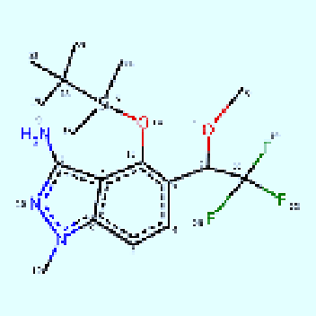 COC(c1ccc2c(c(N)nn2C)c1O[Si](C)(C)C(C)(C)C)C(F)(F)F